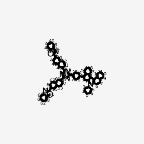 c1ccc(-n2c3ccc4ccccc4c3c3c4ccccc4c(-c4ccc(-c5nc(-c6ccc7cc(-c8nc9ccccc9o8)ccc7c6)nc(-c6ccc7cc(-c8nc9ccccc9o8)ccc7c6)n5)cc4)cc32)cc1